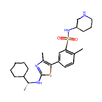 Cc1ccc(-c2sc(N[C@H](C)C3CCCCC3)nc2C)cc1S(=O)(=O)NC1CCCNC1